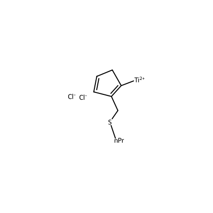 CCCSCC1=[C]([Ti+2])CC=C1.[Cl-].[Cl-]